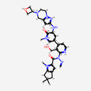 C=NN(C(=O)c1cc2c(n1C)CC(C)(C)C2)c1nccc(-c2cc(Nc3cc4n(n3)CCN(C3COC3)C4)c(=O)n(C)c2)c1CO